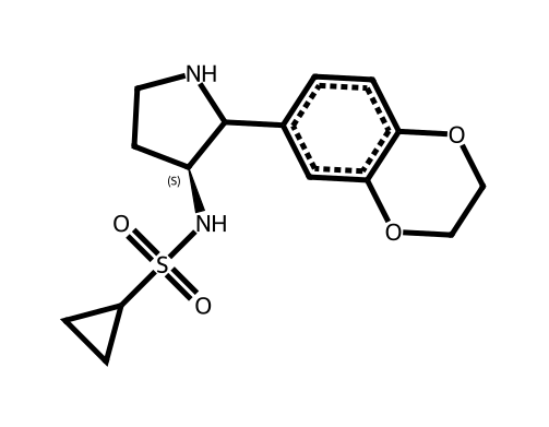 O=S(=O)(N[C@H]1CCNC1c1ccc2c(c1)OCCO2)C1CC1